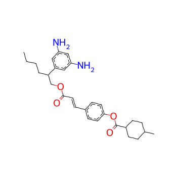 CCCCC(COC(=O)/C=C/c1ccc(OC(=O)C2CCC(C)CC2)cc1)c1cc(N)cc(N)c1